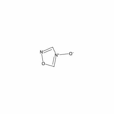 [O-][n+]1cnoc1